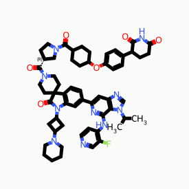 CC(C)n1cnc2cc(-c3ccc4c(c3)N(C3CC(N5CCCCC5)C3)C(=O)C43CCN(C(=O)[C@@H]4CCN(C(=O)C5CCC(Oc6ccc(C7CCC(=O)NC7=O)cc6)CC5)C4)CC3)nc(Nc3ccncc3F)c21